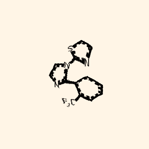 FC(F)(F)c1ccccc1-c1nccn1-c1nccs1